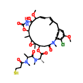 COc1cc2cc(c1Cl)N(C)C(=O)CC(OC(=O)[C@H](C)N(C)C(=O)C(C)N(C)C(=O)CCS)C1(C)OC1C(C)C1CC(O)(NC(=O)O1)C(OC)/C=C/C=C(\C)C2